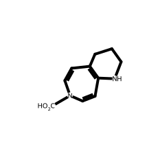 O=C(O)N1C=CC2=C(C=C1)NCCC2